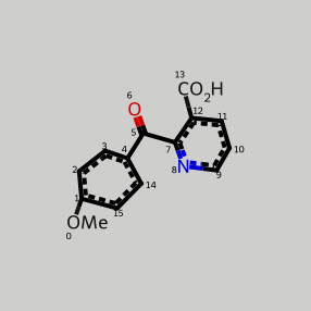 COc1ccc(C(=O)c2ncccc2C(=O)O)cc1